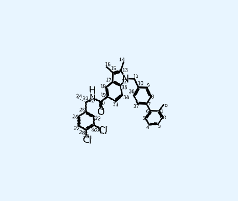 Cc1ccccc1-c1ccc(Cn2c(C)c(C)c3cc(C(=O)N[C@@H](C)c4ccc(Cl)c(Cl)c4)ccc32)cc1